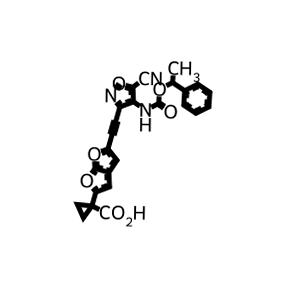 CC(OC(=O)Nc1c(C#Cc2cc3cc(C4(C(=O)O)CC4)oc3o2)noc1C#N)c1ccccc1